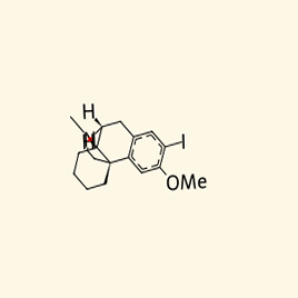 COc1cc2c(cc1I)C[C@@H]1[C@H]3CCCC[C@]23CCN1C